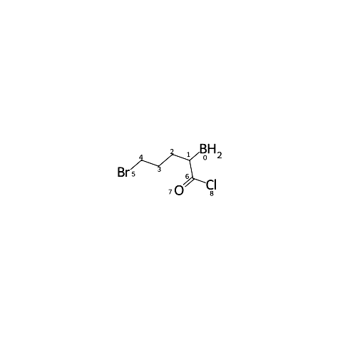 BC(CCCBr)C(=O)Cl